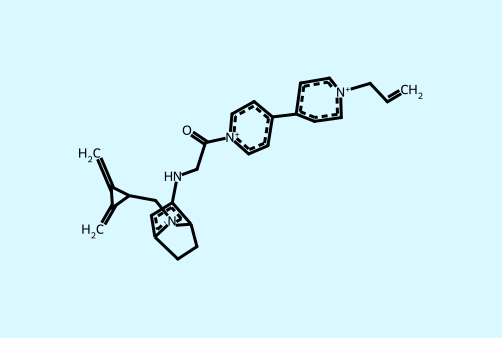 C=CC[n+]1ccc(-c2cc[n+](C(=O)CNc3cc4n(CC5C(=C)C5=C)c3CC4)cc2)cc1